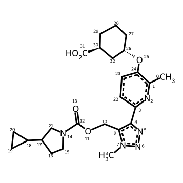 Cc1nc(-c2nnn(C)c2COC(=O)N2CCC(C3CC3)C2)ccc1O[C@H]1CCC[C@H](C(=O)O)C1